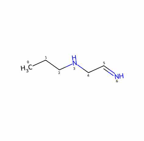 CCCNCC=N